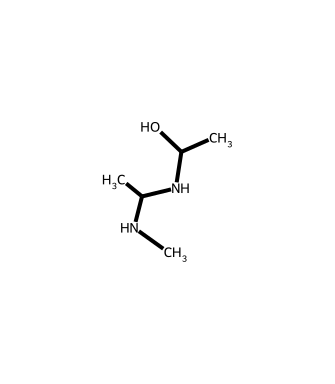 CNC(C)NC(C)O